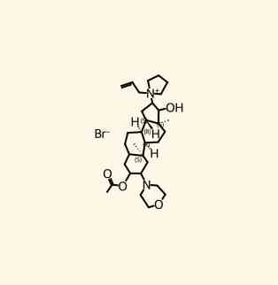 C=CC[N+]1(C2C[C@H]3[C@@H]4CCC5CC(OC(C)=O)C(N6CCOCC6)C[C@]5(C)[C@@H]4CC[C@]3(C)C2O)CCCC1.[Br-]